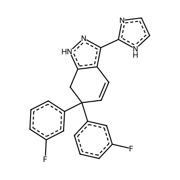 Fc1cccc(C2(c3cccc(F)c3)C=Cc3c(-c4ncc[nH]4)n[nH]c3C2)c1